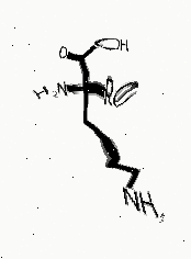 NCCCC[C@@](N)([Re])C(=O)O